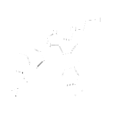 Cc1cc(-n2cnc3c(NCCC(F)(F)F)cc(Oc4cccc(S(C)(=O)=O)c4)cc32)ccc1C(=O)NC1CC1